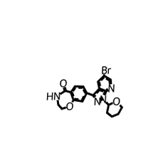 O=C1NCCOc2cc(-c3nn(C4CCCCO4)c4ncc(Br)cc34)ccc21